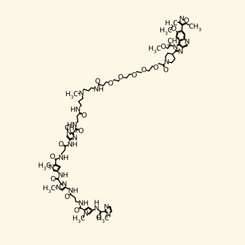 COC[C@@H](C)n1c(C2CCN(C(=O)COCCOCCOCCOCCOCCC(=O)NCCCN(C)CCCNC(=O)CCNC(=O)c3nc(NC(=O)CCNC(=O)c4cc(NC(=O)c5nc(NC(=O)CCNC(=O)c6cc(NC(=O)c7nccn7C)cn6C)cn5C)cn4C)cn3C)CC2)nc2cnc3cc(-c4c(C)noc4C)c(OC)cc3c21